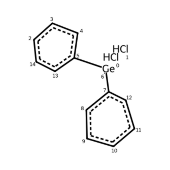 Cl.Cl.c1cc[c]([Ge][c]2ccccc2)cc1